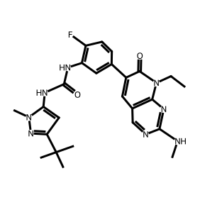 CCn1c(=O)c(-c2ccc(F)c(NC(=O)Nc3cc(C(C)(C)C)nn3C)c2)cc2cnc(NC)nc21